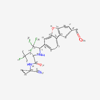 CC(C)(F)CC(NC(c1ccc2c(c1)oc1ccc(C=O)cc12)C(F)(F)F)C(=O)NC1(C#N)CC1